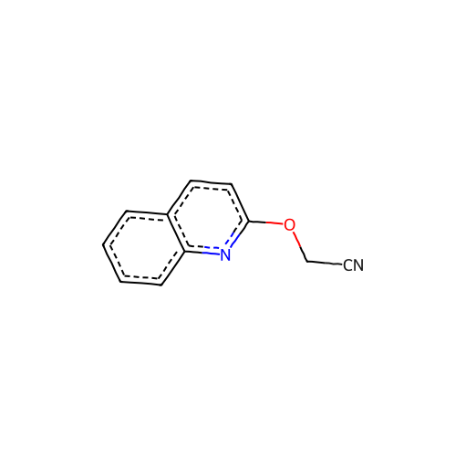 N#CCOc1ccc2ccccc2n1